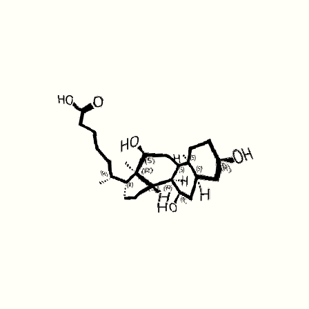 C[C@H](CCCCC(=O)O)[C@H]1CC[C@H]2[C@@H]3[C@H](O)C[C@@H]4C[C@H](O)CC[C@]4(C)[C@H]3C[C@H](O)[C@]12C